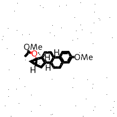 COc1ccc2c(c1)CC[C@@H]1[C@@H]2CC[C@@]2(C)[C@H]1C[C@H]1C[C@]12OC(C)OC